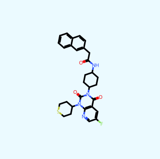 O=C(Cc1ccc2ccccc2c1)NC1CCC(n2c(=O)c3cc(F)cnc3n(C3CCSCC3)c2=O)CC1